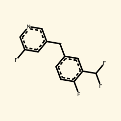 Fc1cncc([CH]c2ccc(F)c(C(F)F)c2)c1